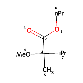 CCCOC(=O)C(C)(OC)C(C)C